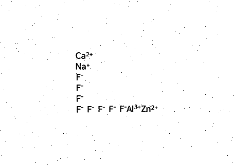 [Al+3].[Ca+2].[F-].[F-].[F-].[F-].[F-].[F-].[F-].[F-].[Na+].[Zn+2]